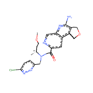 COC[C@@H](C)N(Cc1ccc(Cl)nn1)C(=O)c1cc2c3c(c(N)nc2cn1)COC3